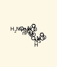 CCCN(CC1CCC(Nc2nc3c(s2)CCOc2ccccc2-3)CC1)C(=O)C1COc2ccccc2-c2nc(NCC3CCC(N)CC3)sc21